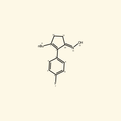 CCCCC1=C(c2ccc(F)cc2)C(=NO)CC1